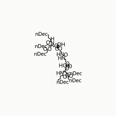 CCCCCCCCCCCCCC(=O)N[C@@H](COP(=O)(O)OCCNC(=O)NCCOP(=O)(O)OC[C@H](NC(=O)CCCCCCCCCCCCC)[C@H](CCCCCCCCCCC)OC(=O)CCCCCCCCCCC)[C@H](CCCCCCCCCCC)OC(=O)CCCCCCCCCCC